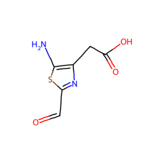 Nc1sc(C=O)nc1CC(=O)O